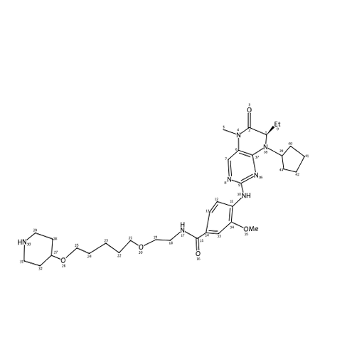 CC[C@@H]1C(=O)N(C)c2cnc(Nc3ccc(C(=O)NCCOCCCCCOC4CCNCC4)cc3OC)nc2N1C1CCCC1